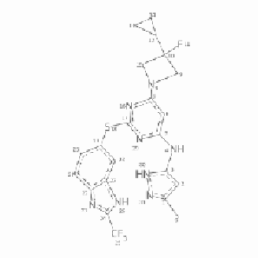 Cc1cc(Nc2cc(N3CC(F)(C4CC4)C3)nc(Sc3ccc4nc(C(F)(F)F)[nH]c4c3)n2)[nH]n1